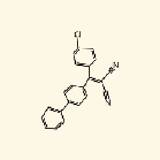 N#CC(C#N)=C(c1ccc(Cl)cc1)c1ccc(-c2ccccc2)cc1